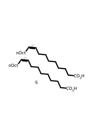 CCCCCCCC/C=C\CCCCCCCC(=O)O.CCCCCCCC/C=C\CCCCCCCC(=O)O.[S]